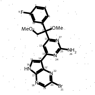 COCC(OC)(c1cccc(F)c1)c1cc(-c2c[nH]c3ncc(Br)nc23)nc(N)n1